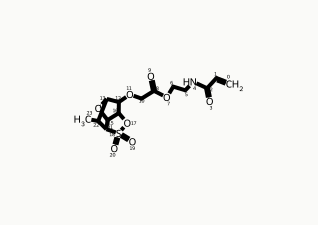 C=CC(=O)NCCOC(=O)COC1C2OC3C1OS(=O)(=O)C3C2C